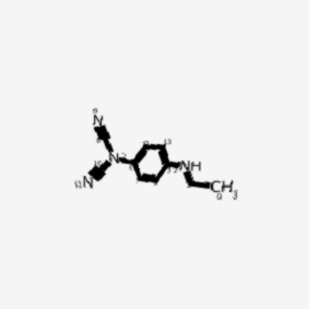 CCNc1ccc(N(C#N)C#N)cc1